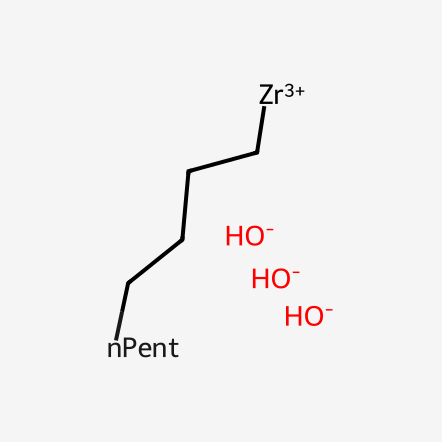 CCCCCCCC[CH2][Zr+3].[OH-].[OH-].[OH-]